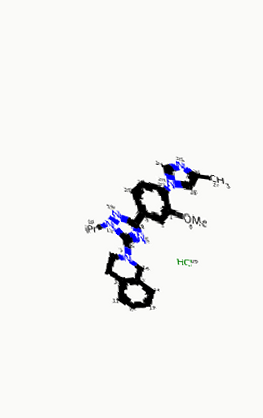 COc1cc(-c2nc(N3CCc4ccccc4C3)n(C(C)C)n2)ccc1-n1cnc(C)c1.Cl